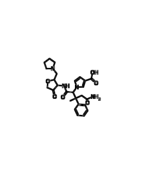 CC(CC(N)=O)(c1ccccc1)C(C(=O)NC1C(=O)COC1CN1CCCC1)n1ccc(C(=O)O)c1